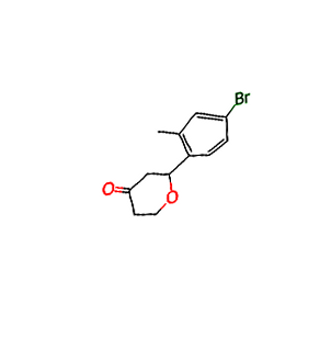 Cc1cc(Br)ccc1C1CC(=O)CCO1